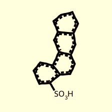 O=S(=O)(O)c1cccc2c1ccc1cc3ccccc3cc12